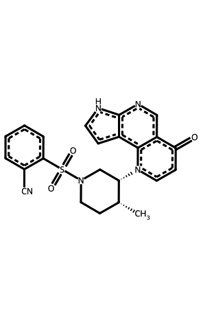 C[C@@H]1CCN(S(=O)(=O)c2ccccc2C#N)C[C@@H]1n1ccc(=O)c2cnc3[nH]ccc3c21